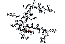 CC(C)C[C@H](NC(=O)[C@H](CO)NC(=O)[C@H](C)NC(=O)[C@@H](N)CCC(N)=O)C(=O)N[C@@H](CCC(=O)O)C(=O)N[C@@H](C)C(=O)N[C@@H](CCC(=O)O)C(=O)N[C@@H](C)C(=O)N[C@@H](CCCCN)C(=O)NCC(=O)N[C@@H](CCCCN)C(=O)O